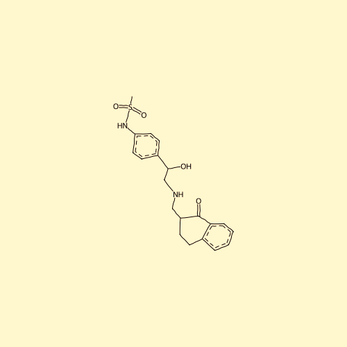 CS(=O)(=O)Nc1ccc(C(O)CNCC2CCc3ccccc3C2=O)cc1